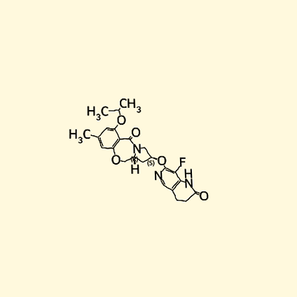 Cc1cc2c(c(OC(C)C)c1)C(=O)N1C[C@@H](Oc3ncc4c(c3F)NC(=O)CC4)C[C@@H]1CO2